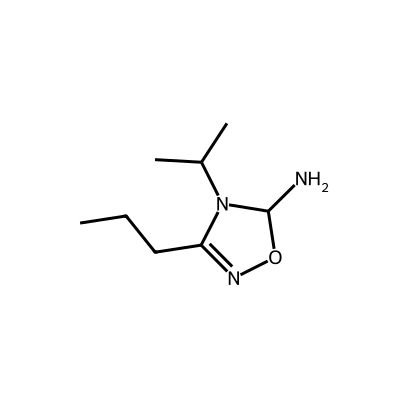 CCCC1=NOC(N)N1C(C)C